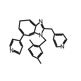 Cc1ccc(C)c(Cn2c(Cc3ccncc3)nc3c2=CC(c2ccncc2)=CCC=3)c1